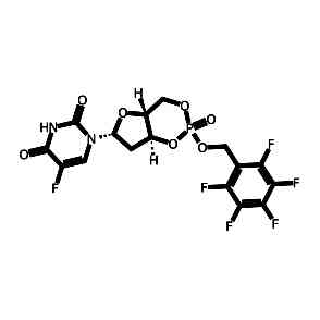 O=c1[nH]c(=O)n([C@H]2C[C@@H]3OP(=O)(OCc4c(F)c(F)c(F)c(F)c4F)OC[C@H]3O2)cc1F